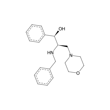 O[C@H](c1ccccc1)[C@@H](CN1CCOCC1)NCc1ccccc1